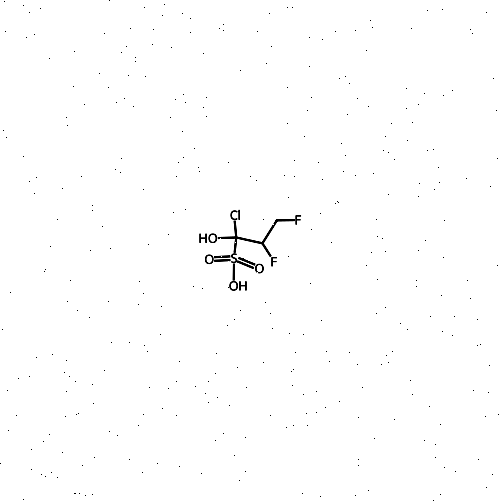 O=S(=O)(O)C(O)(Cl)C(F)CF